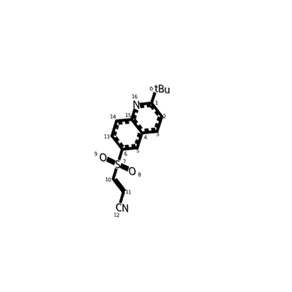 CC(C)(C)c1ccc2cc(S(=O)(=O)C=CC#N)ccc2n1